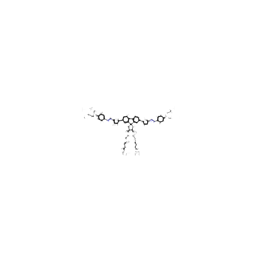 CCN(CCO)c1ccc(/C=C/c2ccc(-c3ccc4c(c3)C(CCOCCOCCOC)(CCOCCOCCOC)c3cc(-c5ccc(/C=C/c6ccc(N(CC)CCO)cc6)s5)ccc3-4)s2)cc1